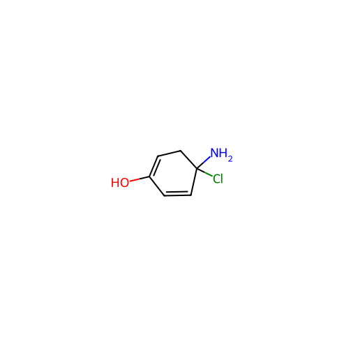 NC1(Cl)C=CC(O)=CC1